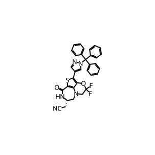 N#CC[C@H]1CN2CC(F)(F)Oc3c(-c4cnn(C(c5ccccc5)(c5ccccc5)c5ccccc5)c4)sc(c32)C(=O)N1